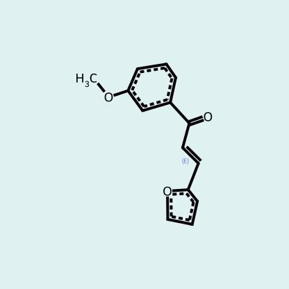 COc1cccc(C(=O)/C=C/c2ccco2)c1